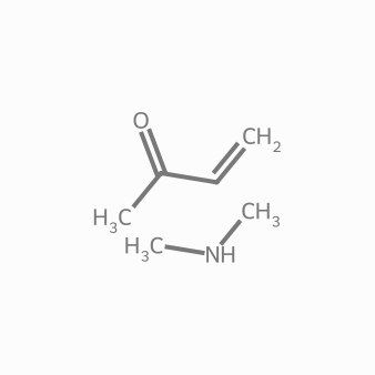 C=CC(C)=O.CNC